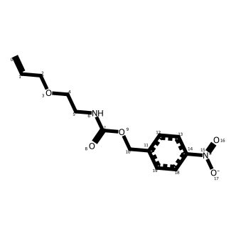 C=C[CH]OCCNC(=O)OCc1ccc([N+](=O)[O-])cc1